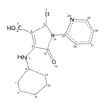 CCC1C(C(=O)O)=C(NC2CCCCC2)C(=O)N1c1ccccn1